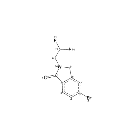 O=C1c2ccc(Br)cc2CN1CC(F)F